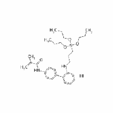 C=C(C)C(=O)Nc1ccc(-c2ccccc2NCCC[Si](OCCC)(OCCC)OCCC)cc1.I